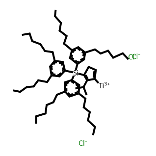 CCCCCCc1cc(CCCCCC)cc([Si](C2=C(C(C)C)[C]([Ti+3])=CC2)(c2cc(CCCCCC)cc(CCCCCC)c2)c2cc(CCCCCC)cc(CCCCCC)c2)c1.[Cl-].[Cl-].[Cl-]